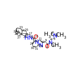 CN(C)CCN(C)C(=O)Cc1cn2c(C(=O)NCC34CC5CCCC(C3)C(C5)C4)cccc2n1